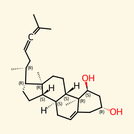 CC(C)=C=CC[C@@H](C)[C@H]1CC[C@H]2[C@@H]3CC=C4C[C@@H](O)C[C@H](O)[C@]4(C)[C@H]3CC[C@]12C